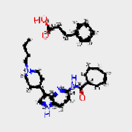 CCCCN1CCC(c2c[nH]c3ccc(NC(=O)C4CCCCCC4)nc23)CC1.O=C(O)CCc1ccccc1